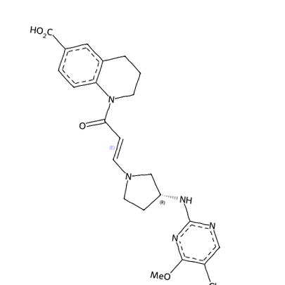 COc1nc(N[C@@H]2CCN(/C=C/C(=O)N3CCCc4cc(C(=O)O)ccc43)C2)ncc1Cl